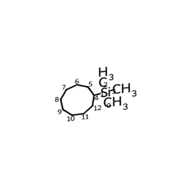 C[Si](C)(C)C1CCCCCCCC1